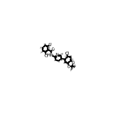 O=C(Nc1ccc(-c2cc3c(cc2Cl)OC(F)(F)O3)cn1)c1c(Cl)cccc1Cl